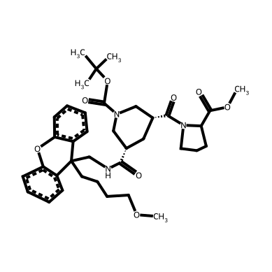 COCCCCC1(CNC(=O)[C@H]2C[C@@H](C(=O)N3CCCC3C(=O)OC)CN(C(=O)OC(C)(C)C)C2)c2ccccc2Oc2ccccc21